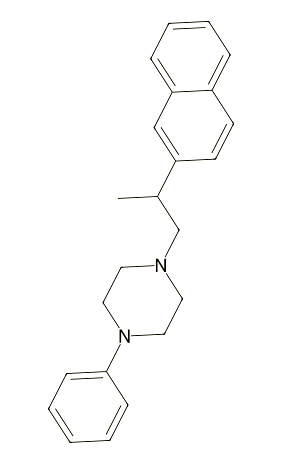 CC(CN1CCN(c2ccccc2)CC1)c1ccc2ccccc2c1